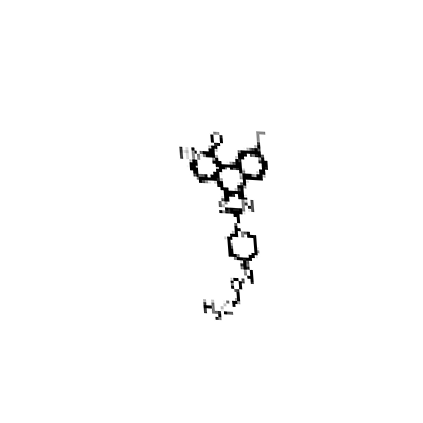 CCON=C1CCN(c2nc3c4ccc(F)cc4c4c(=O)[nH]ccc4c3s2)CC1